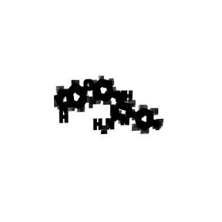 Nc1nc(Nc2ccc(Oc3ccc4[nH]ncc4c3)c(F)c2)cc(-c2ccc(F)cc2)n1